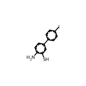 Nc1ccc(-c2ccc(I)cc2)cc1S